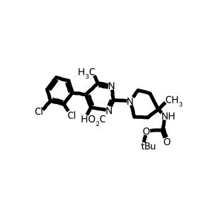 Cc1nc(N2CCC(C)(NC(=O)OC(C)(C)C)CC2)nc(C(=O)O)c1-c1cccc(Cl)c1Cl